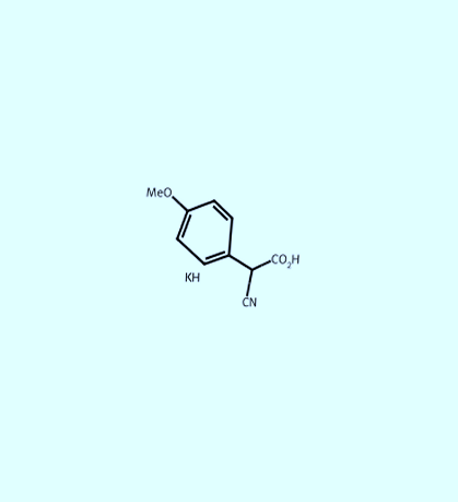 COc1ccc(C(C#N)C(=O)O)cc1.[KH]